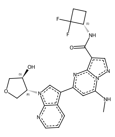 CNc1cc(-c2cn([C@@H]3COC[C@H]3O)c3ncccc23)nc2c(C(=O)N[C@H]3CCC3(F)F)cnn12